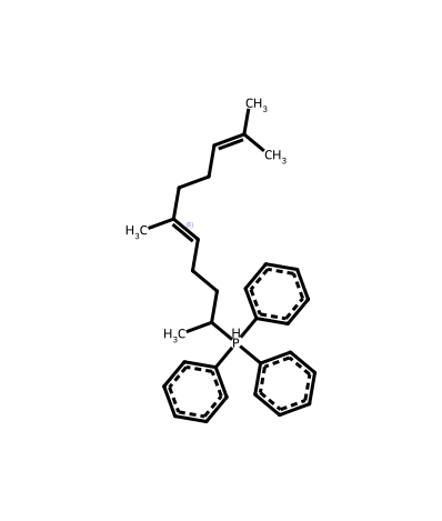 CC(C)=CCC/C(C)=C/CCC(C)[PH](c1ccccc1)(c1ccccc1)c1ccccc1